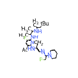 C=C/C(=C\N=C(/CF)N1CCCCC1)Nc1nc(NC(C)C(C)NC(=C)CC(C)(C)C)c(F)cc1C(C)=O